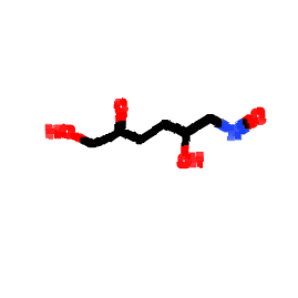 O=NCC(O)CCC(=O)CO